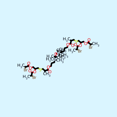 CC(Br)C(=O)OCC(CSCC(C)C(=O)OCCCC(C)(C)[Si](C)(C)OC(C)(C)[Si](C)(C)CCCOC(=O)C(C)CSCC(COC(=O)C(C)Br)OC(=O)C(C)Br)OC(=O)C(C)Br